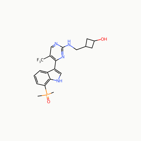 CP(C)(=O)c1cccc2c(-c3nc(NCC4CC(O)C4)ncc3C(F)(F)F)c[nH]c12